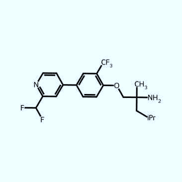 CC(C)CC(C)(N)COc1ccc(-c2ccnc(C(F)F)c2)cc1C(F)(F)F